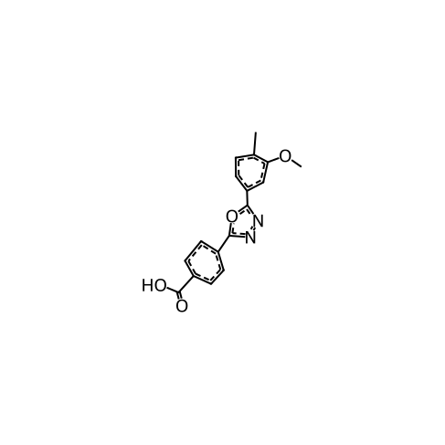 COc1cc(-c2nnc(-c3ccc(C(=O)O)cc3)o2)ccc1C